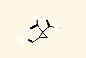 C=CC1CC1(C(=O)O)C(=O)O